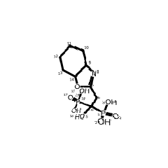 O=P(O)(O)C(O)(CC1=NC2CCCCC2O1)P(=O)(O)O